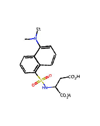 CCN(C)c1cccc2c(S(=O)(=O)NC(CC(=O)O)C(=O)O)cccc12